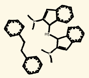 CP(C)C1=Cc2ccccc2[CH]1[Hf][CH]1C(P(C)C)=Cc2ccccc21.c1ccc(CCc2ccccc2)cc1